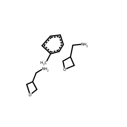 Cc1ccccc1.NCC1COC1.NCC1COC1